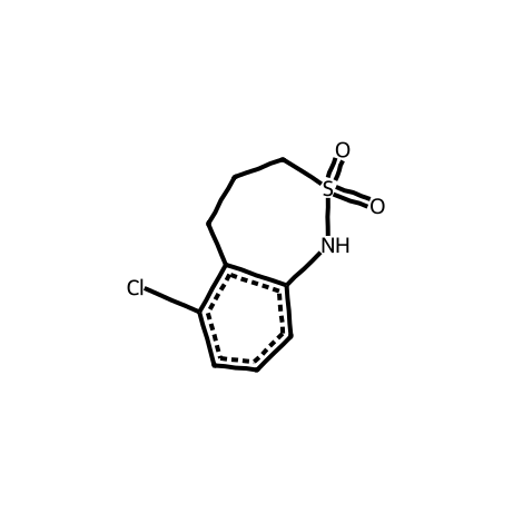 O=S1(=O)CCCc2c(Cl)cccc2N1